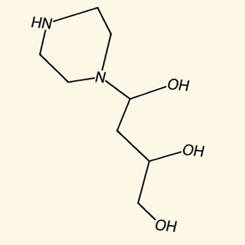 OCC(O)CC(O)N1CCNCC1